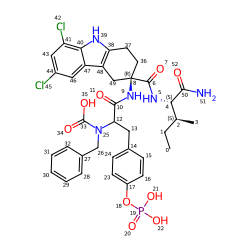 CC[C@H](C)[C@H](NC(=O)[C@@]1(NC(=O)C(Cc2ccc(OP(=O)(O)O)cc2)N(Cc2ccccc2)C(=O)O)CCc2[nH]c3c(Cl)cc(Cl)cc3c2C1)C(N)=O